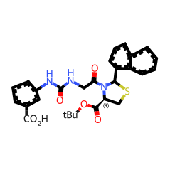 CC(C)(C)OC(=O)[C@@H]1CSC(c2cccc3ccccc23)N1C(=O)CNC(=O)Nc1cccc(C(=O)O)c1